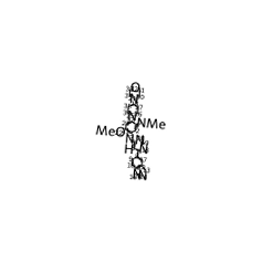 CNc1cc(Nc2cc(-c3ccc4c(cnn4C)c3)ncn2)c(OC)cc1N1CCC(N2CCOCC2)CC1